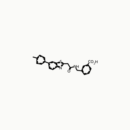 Cc1ccc(-c2ccc3nc(CC(=O)NCc4cccc(C(=O)O)c4)sc3c2)cc1